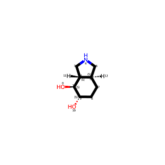 O[C@H]1[C@@H]2CNC[C@H]2CC[C@@H]1O